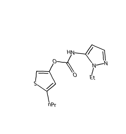 CCCc1cc(OC(=O)Nc2ccnn2CC)cs1